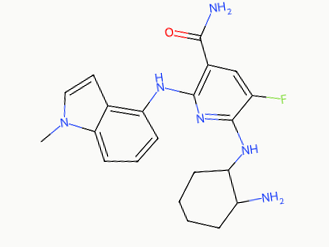 Cn1ccc2c(Nc3nc(NC4CCCCC4N)c(F)cc3C(N)=O)cccc21